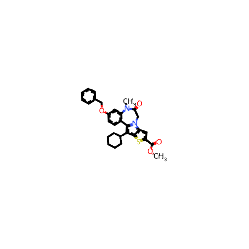 COC(=O)c1cc2c(s1)c(C1CCCCC1)c1n2CC(=O)N(C)c2cc(OCc3ccccc3)ccc2-1